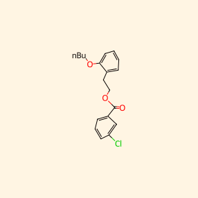 CCCCOc1ccccc1CCOC(=O)c1cccc(Cl)c1